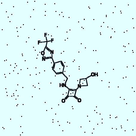 O=c1c(NCc2ccc(-c3noc(C(F)(F)F)n3)cc2)c(N2CC(O)C2)c1=O